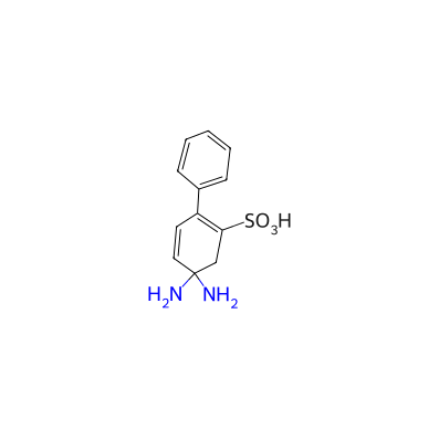 NC1(N)C=CC(c2ccccc2)=C(S(=O)(=O)O)C1